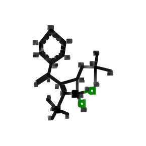 C=C(C1=C([Si](C)(C)C)[Si](Cl)(Cl)C1CC(C)(C)C)c1ccccc1